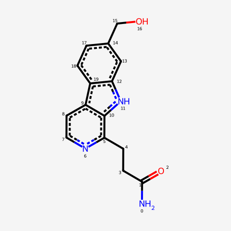 NC(=O)CCc1nccc2c1[nH]c1cc(CO)ccc12